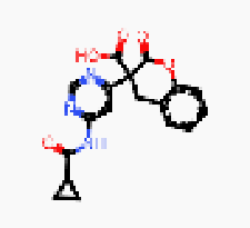 O=C(Nc1cc(C2(C(=O)O)Cc3ccccc3OC2=O)ncn1)C1CC1